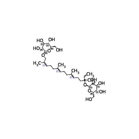 C=C[C@](C)(CC/C=C(\C)CC/C=C(\C)CC/C=C(/C)CO[C@@H]1O[C@H](CO)[C@@H](O)[C@H](O)[C@H]1O)O[C@@H]1O[C@H](CO)[C@@H](O)[C@H](O)[C@H]1O